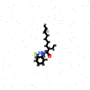 C/C=C/CCCCC(CC)C(=O)Nc1ccccc1F